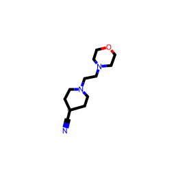 N#C[C]1CCN(CCN2CCOCC2)CC1